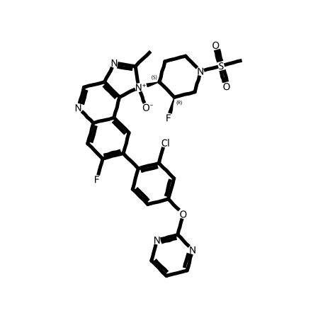 CC1=Nc2cnc3cc(F)c(-c4ccc(Oc5ncccn5)cc4Cl)cc3c2[N+]1([O-])[C@H]1CCN(S(C)(=O)=O)C[C@H]1F